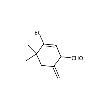 C=C1CC(C)(C)C(CC)=CC1C=O